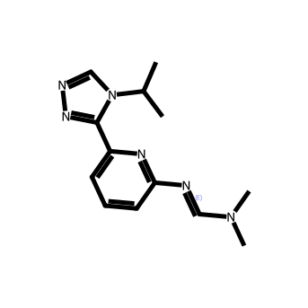 CC(C)n1cnnc1-c1cccc(/N=C/N(C)C)n1